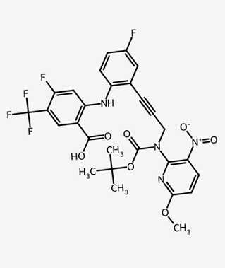 COc1ccc([N+](=O)[O-])c(N(CC#Cc2cc(F)ccc2Nc2cc(F)c(C(F)(F)F)cc2C(=O)O)C(=O)OC(C)(C)C)n1